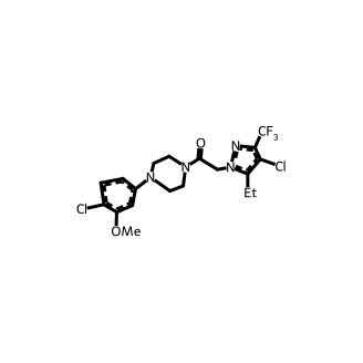 CCc1c(Cl)c(C(F)(F)F)nn1CC(=O)N1CCN(c2ccc(Cl)c(OC)c2)CC1